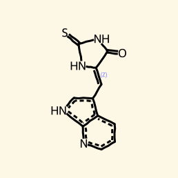 O=C1NC(=S)N/C1=C\c1c[nH]c2ncccc12